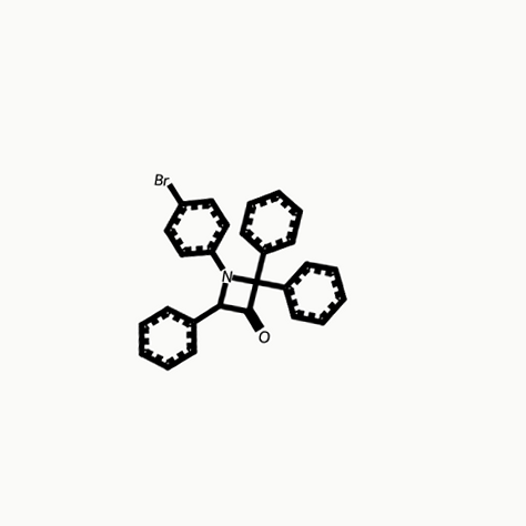 O=C1C(c2ccccc2)N(c2ccc(Br)cc2)C1(c1ccccc1)c1ccccc1